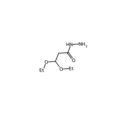 CCOC(CC(=O)NN)OCC